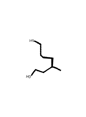 CC(CCO)CCCS